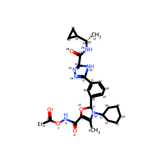 CCC(=O)ONC(=O)C1=C(C)N(C2CCCCC2)C(c2cccc(-c3nnc(C(=O)N[C@@H](C)C4CC4)[nH]3)c2)O1